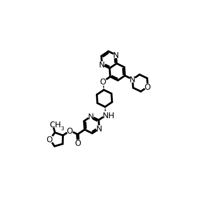 CC1OCCC1OC(=O)c1cnc(N[C@H]2CC[C@@H](Oc3cc(N4CCOCC4)cc4nccnc34)CC2)nc1